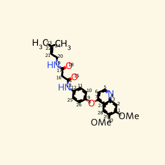 COc1cc2nccc(Oc3ccc(NC(=O)CC(=O)NCC=C(C)C)cc3)c2cc1OC